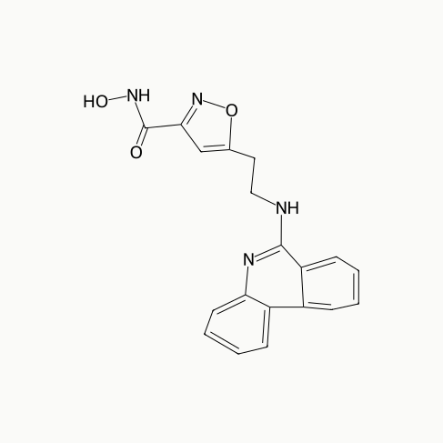 O=C(NO)c1cc(CCNc2nc3ccccc3c3ccccc23)on1